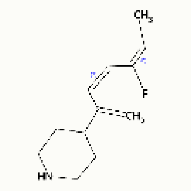 C=C(/C=C\C(F)=C/C)C1CCNCC1